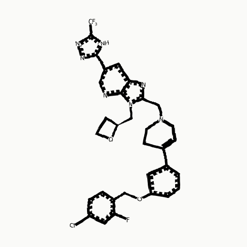 Fc1cc(Cl)ccc1COc1cccc(C2=CCN(Cc3nc4cc(-c5nnc(C(F)(F)F)[nH]5)cnc4n3C[C@@H]3CCO3)CC2)c1